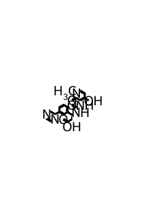 Cn1ccc(O)c(NC(=O)N[C@@H](CC(=O)O)c2cccc(-c3cnccn3)c2)c1=O